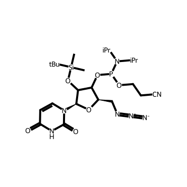 CC(C)N(C(C)C)P(OCCC#N)OC1C(O[Si](C)(C)C(C)(C)C)[C@H](n2ccc(=O)[nH]c2=O)O[C@@H]1CN=[N+]=[N-]